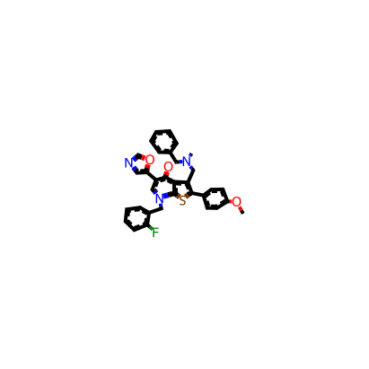 COc1ccc(-c2sc3c(c2CN(C)Cc2ccccc2)c(=O)c(-c2cnco2)cn3Cc2ccccc2F)cc1